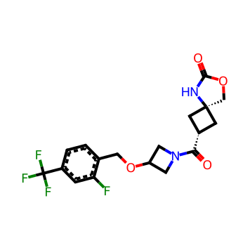 O=C1N[C@]2(CO1)C[C@@H](C(=O)N1CC(OCc3ccc(C(F)(F)F)cc3F)C1)C2